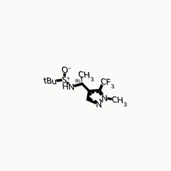 C[C@@H](N[S+]([O-])C(C)(C)C)c1cnn(C)c1C(F)(F)F